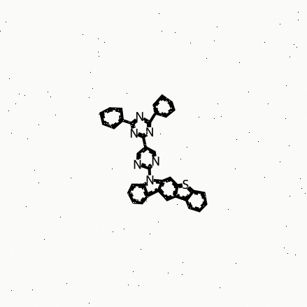 c1ccc(-c2nc(-c3ccccc3)nc(-c3cnc(-n4c5ccccc5c5cc6c(cc54)sc4ccccc46)nc3)n2)cc1